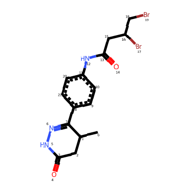 CC1CC(=O)NN=C1c1ccc(NC(=O)CC(Br)CBr)cc1